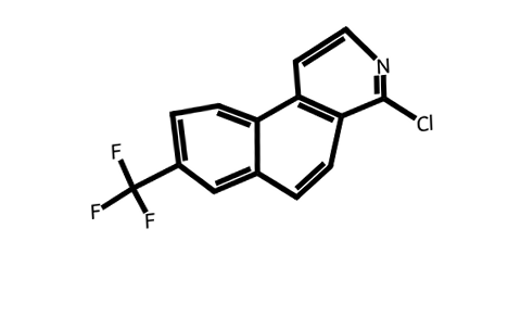 FC(F)(F)c1ccc2c(ccc3c(Cl)nccc32)c1